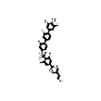 CC/C=C/C1COC(c2cc(F)c(C(F)(F)Oc3ccc(-c4ccc(-c5cc(F)c(Cl)c(F)c5)c(F)c4)c(F)c3)c(F)c2)OC1